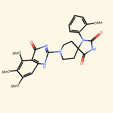 COc1ccccc1N1C(=O)NC(=O)C12CCN(c1nc(=O)c3c(OC)c(OC)c(OC)cc3[nH]1)CC2